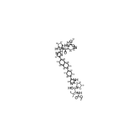 COC(=O)N[C@@H](C(C)C)C(O)N1CCC[C@H]1c1ncc(-c2ccc(-c3ccc4cc(-c5cnc([C@@H]6[C@H]7CC[C@H](C7)N6C(=O)[C@H](CC#N)NC(=O)OC)[nH]5)ccc4c3)cc2)[nH]1